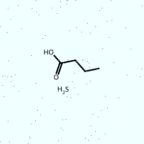 CCCC(=O)O.S